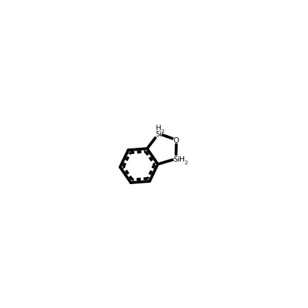 c1ccc2c(c1)[SiH2]O[SiH2]2